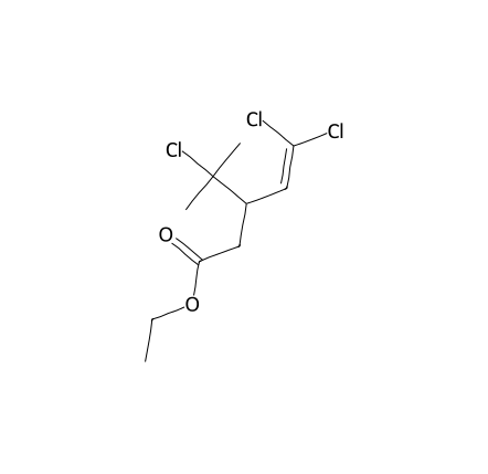 CCOC(=O)CC(C=C(Cl)Cl)C(C)(C)Cl